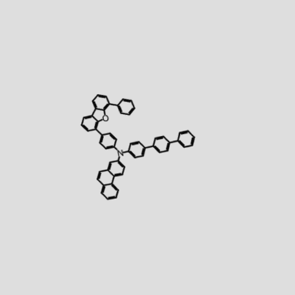 c1ccc(-c2ccc(-c3ccc(N(c4ccc(-c5cccc6c5oc5c(-c7ccccc7)cccc56)cc4)c4ccc5c(ccc6ccccc65)c4)cc3)cc2)cc1